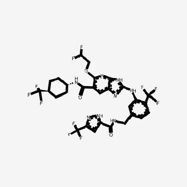 O=C(NCc1ccc(C(F)(F)F)c(Nc2nc3cc(C(=O)N[C@H]4CC[C@H](C(F)(F)F)CC4)c(OCC(F)F)nc3[nH]2)c1)c1cc(C(F)(F)F)n[nH]1